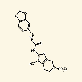 CCOC(=O)N1CCc2c(sc(NC(=O)/C=C/c3ccc4c(c3)OCO4)c2C#N)C1